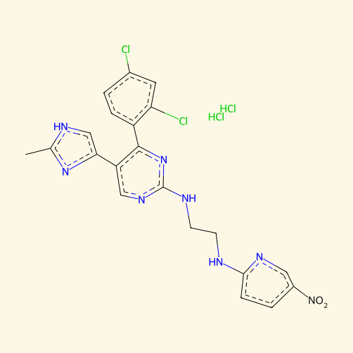 Cc1nc(-c2cnc(NCCNc3ccc([N+](=O)[O-])cn3)nc2-c2ccc(Cl)cc2Cl)c[nH]1.Cl.Cl